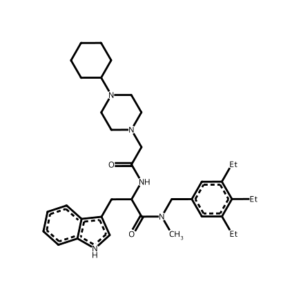 CCc1cc(CN(C)C(=O)C(Cc2c[nH]c3ccccc23)NC(=O)CN2CCN(C3CCCCC3)CC2)cc(CC)c1CC